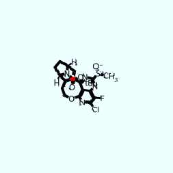 C[S+]([O-])c1nc2c3c(nc(Cl)c(F)c3n1)OCCC1[C@@H]3CC[C@H](CN21)N3C(=O)OC(C)(C)C